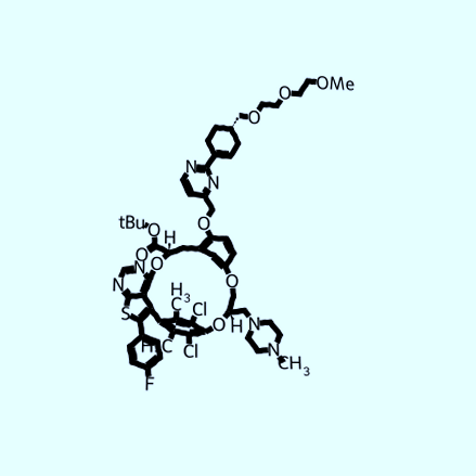 COCCOCCOC[C@@H]1CC=C(c2nccc(COc3ccc4cc3C[C@H](C(=O)OC(C)(C)C)Oc3ncnc5sc(-c6ccc(F)cc6)c(c35)-c3c(C)c(Cl)c(c(Cl)c3C)O[C@H](CN3CCN(C)CC3)CO4)n2)CC1